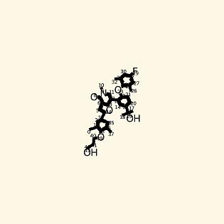 Cc1cc(-c2cc3c(=O)n(C)cc(-c4cc(C(C)(C)O)ccc4Oc4c(C)cc(F)cc4C)c3o2)cc(C)c1OCCCO